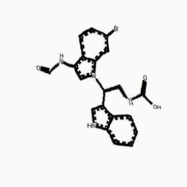 O=CNc1cn(C(CNC(=O)O)c2c[nH]c3ccccc23)c2cc(Br)ccc12